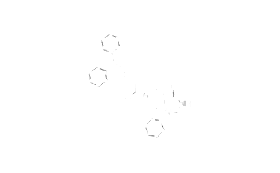 O=C(CCCC(c1ccccc1)c1ccccc1)N1CCC2(CC1)C(=O)NCN2c1ccccc1